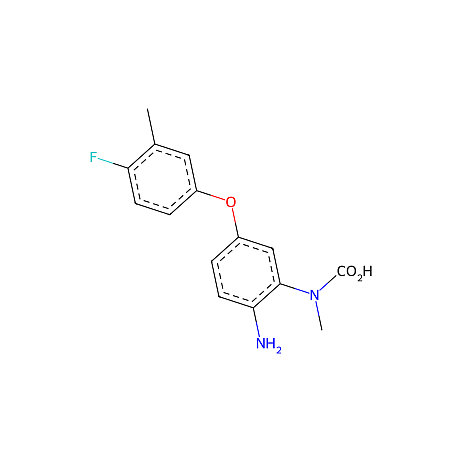 Cc1cc(Oc2ccc(N)c(N(C)C(=O)O)c2)ccc1F